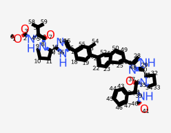 COC(=O)N[C@H](C(=O)N1CCC[C@H]1c1ncc(-c2ccc(-c3ccc4cc(-c5c[nH]c([C@@H]6CCCN6C(=O)[C@H](NC=O)c6ccccc6)n5)ccc4c3)c(C)c2)[nH]1)C(C)C